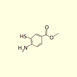 COC(=O)c1ccc(N)c(S)c1